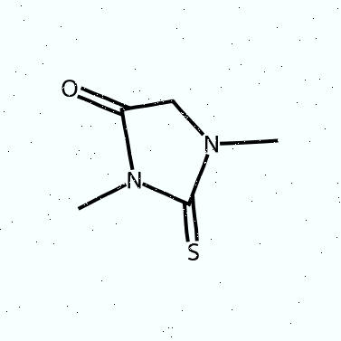 CN1CC(=O)N(C)C1=S